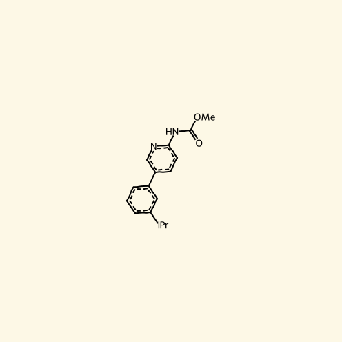 COC(=O)Nc1ccc(-c2cccc(C(C)C)c2)cn1